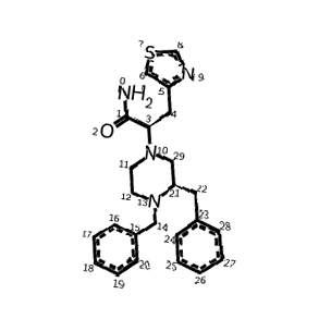 NC(=O)[C@@H](Cc1cscn1)N1CCN(Cc2ccccc2)[C@H](Cc2ccccc2)C1